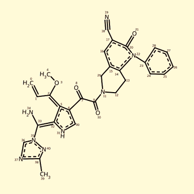 C=C/C(OC)=c1/c(C(=O)C(=O)N2CCc3c(cc(C#N)c(=O)n3-c3ccccc3)C2)c[nH]/c1=C(/N)n1cnc(C)n1